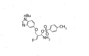 CCCCn1cnc2cc(OC/C(=C\F)C(N)OS(=O)(=O)c3ccc(C)cc3)ccc21